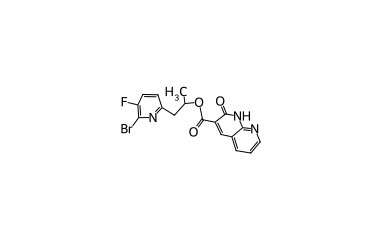 CC(Cc1ccc(F)c(Br)n1)OC(=O)c1cc2cccnc2[nH]c1=O